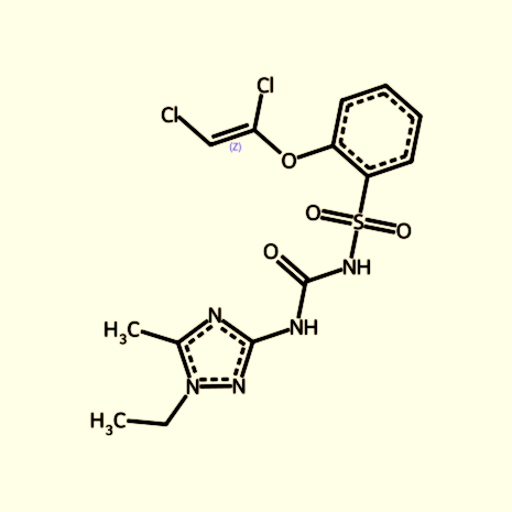 CCn1nc(NC(=O)NS(=O)(=O)c2ccccc2O/C(Cl)=C/Cl)nc1C